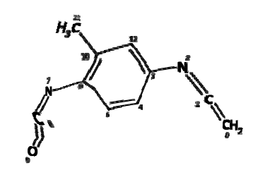 C=C=Nc1ccc(N=C=O)c(C)c1